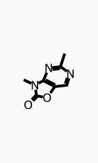 Cc1ncc2oc(=O)n(C)c2n1